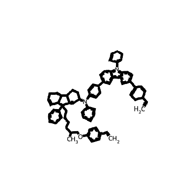 C=Cc1ccc(OCC(C)CCCCC2(c3ccccc3)C3=CC(N(C4=CCC(c5ccc6c(c5)c5cc(C7=CCC(C=C)C=C7)ccc5n6C5=CCCC=C5)C=C4)c4ccccc4)CCC3C3CCC=CC32)cc1